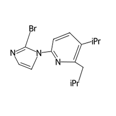 CC(C)Cc1nc(-n2ccnc2Br)ccc1C(C)C